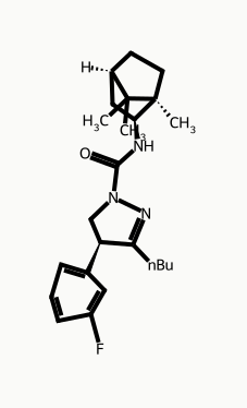 CCCCC1=NN(C(=O)N[C@H]2C[C@H]3CC[C@]2(C)C3(C)C)C[C@@H]1c1cccc(F)c1